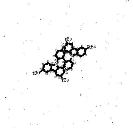 CC(C)(C)c1ccc2c(c1)c1cc(C(C)(C)C)ccc1n2-c1ccncc1-c1cc(C#N)ccc1-n1c2ccc(C(C)(C)C)cc2c2cc(C(C)(C)C)ccc21